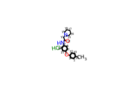 Cc1ccc(Oc2ccc(NC(=O)CN3CCCCC3)cc2)cc1.Cl